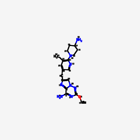 CCCCOc1nc(N)c2nc(Cc3cnc(N4CCC(N)CC4)c(C)c3)cn2n1